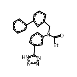 CCC(=O)N(Cc1cccc(-c2ccccc2)c1)c1cccc(-c2nnn[nH]2)c1